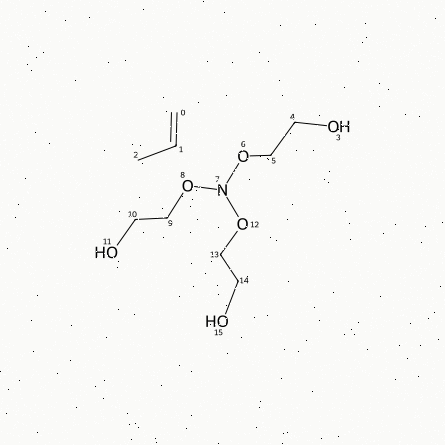 C=CC.OCCON(OCCO)OCCO